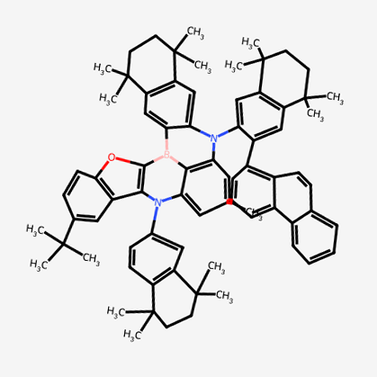 Cc1cc2c3c(c1)N(c1ccc4c(c1)C(C)(C)CCC4(C)C)c1c(oc4ccc(C(C)(C)C)cc14)B3c1cc3c(cc1N2c1cc2c(cc1-c1cccc4c1ccc1ccccc14)C(C)(C)CCC2(C)C)C(C)(C)CCC3(C)C